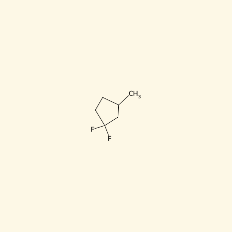 CC1CCC(F)(F)C1